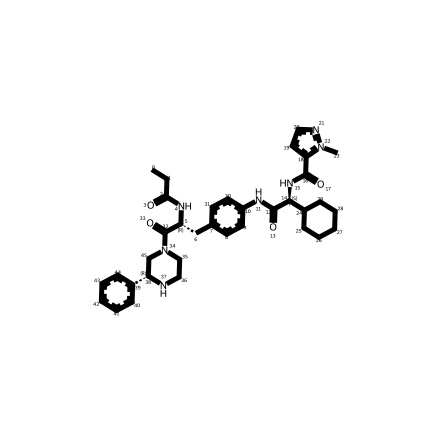 CCC(=O)N[C@H](Cc1ccc(NC(=O)[C@@H](NC(=O)c2ccnn2C)C2CCCCC2)cc1)C(=O)N1CCN[C@H](c2ccccc2)C1